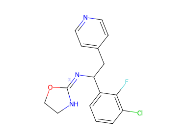 Fc1c(Cl)cccc1C(Cc1ccncc1)/N=C1\NCCO1